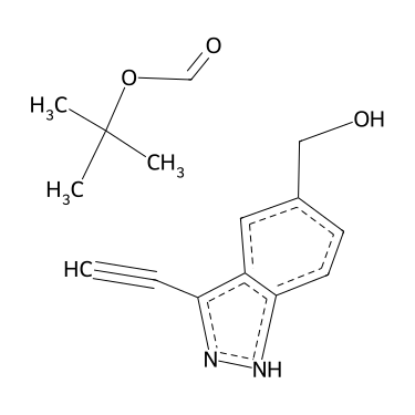 C#Cc1n[nH]c2ccc(CO)cc12.CC(C)(C)OC=O